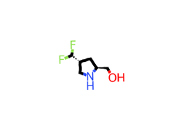 OC[C@@H]1C[C@@H](C(F)F)CN1